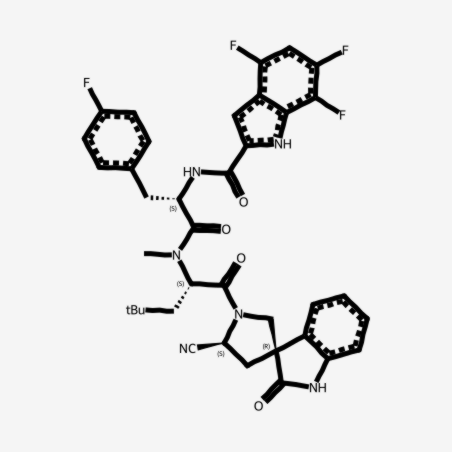 CN(C(=O)[C@H](Cc1ccc(F)cc1)NC(=O)c1cc2c(F)cc(F)c(F)c2[nH]1)[C@@H](CC(C)(C)C)C(=O)N1C[C@]2(C[C@H]1C#N)C(=O)Nc1ccccc12